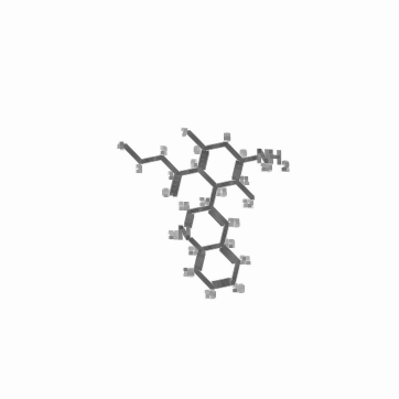 C=C(CCC)C1=C(C)CC(N)=C(C)C1c1cnc2ccccc2c1